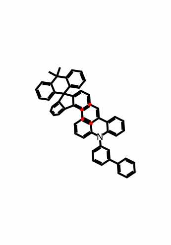 CC1(C)c2ccccc2C2(c3ccccc3-c3c(-c4cccc(N(c5cccc(-c6ccccc6)c5)c5ccccc5-c5ccccc5)c4)cccc32)c2ccccc21